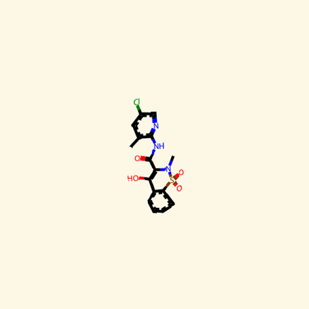 Cc1cc(Cl)cnc1NC(=O)C1=C(O)c2ccccc2S(=O)(=O)N1C